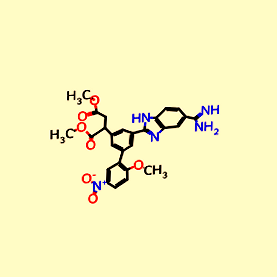 COC(=O)CC(C(=O)OC)c1cc(-c2nc3cc(C(=N)N)ccc3[nH]2)cc(-c2cc([N+](=O)[O-])ccc2OC)c1